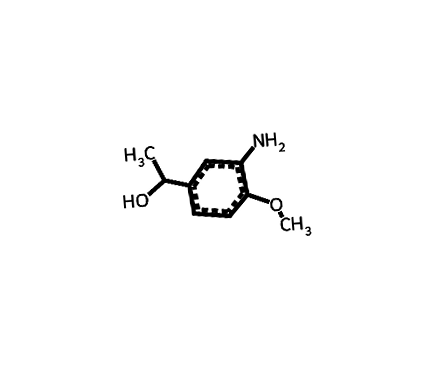 COc1ccc(C(C)O)cc1N